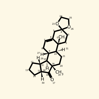 C[C@]12CCC3(CC1=CC[C@H]1[C@@H]4[C@H]5CCC[C@H]5C(=O)[C@@]4(C)CC[C@@H]12)OCCO3